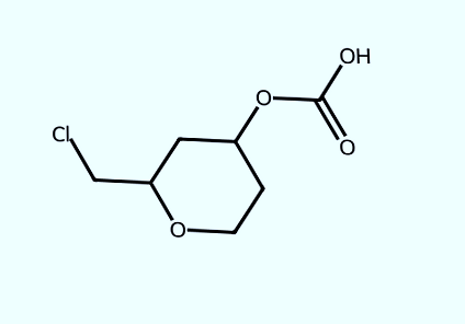 O=C(O)OC1CCOC(CCl)C1